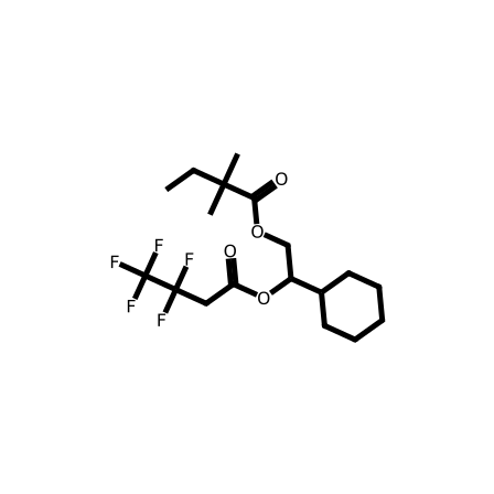 CCC(C)(C)C(=O)OCC(OC(=O)CC(F)(F)C(F)(F)F)C1CCCCC1